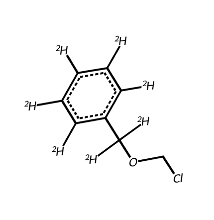 [2H]c1c([2H])c([2H])c(C([2H])([2H])OCCl)c([2H])c1[2H]